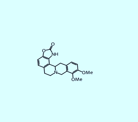 COc1ccc2c(c1OC)CN1CCc3ccc4oc(=O)[nH]c4c3C1C2